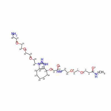 CNC(=O)CCOCCOCCNC(=O)COC1CCCCCC2=C1NNN2CCOCCOCCOCCN